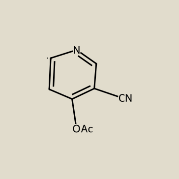 CC(=O)Oc1c[c]ncc1C#N